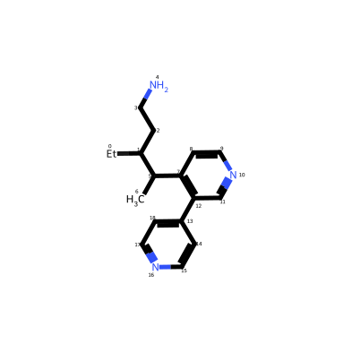 CCC(CCN)C(C)c1ccncc1-c1ccncc1